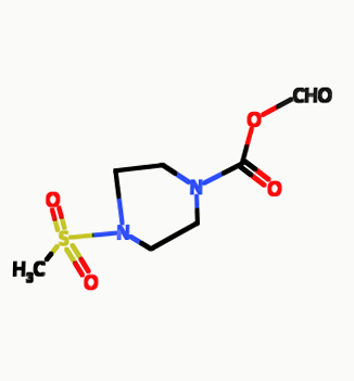 CS(=O)(=O)N1CCN(C(=O)OC=O)CC1